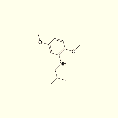 COc1ccc(OC)c(NCC(C)C)c1